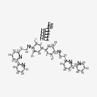 Cc1cc(-c2cc(C)c(N=CCc3cccc(-c4ccccn4)n3)c(C)c2)cc(C)c1N=CCc1cccc(-c2ccccn2)n1.Cl.Cl.Cl.Cl.[Fe].[Fe]